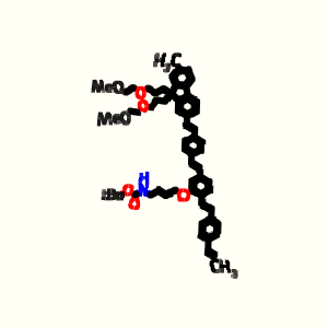 C/C=C/c1ccc(/C=C/c2ccc(/C=C/c3ccc(/C=C/c4ccc5c(c4)C(CCCOCCOC)(CCCOCCOC)c4cc(C)ccc4-5)cc3)cc2OCCCCNC(=O)OC(C)(C)C)cc1